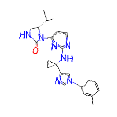 CC1=CC(n2cnc(C3(Nc4nccc(N5C(=O)NC[C@@H]5C(C)C)n4)CC3)c2)CC=C1